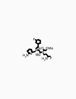 COCC(=O)N(CCC(N)CF)C(c1nc(-c2cccc(F)c2)cn1Cc1cccc(N)n1)C(C)(C)C